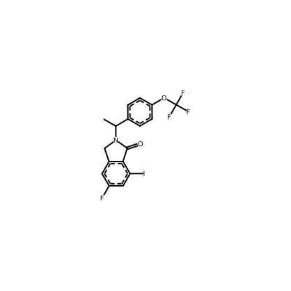 CC(c1ccc(OC(F)(F)F)cc1)N1Cc2cc(F)cc(I)c2C1=O